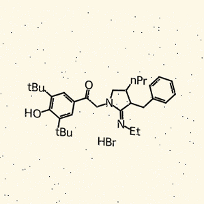 Br.CCCC1CN(CC(=O)c2cc(C(C)(C)C)c(O)c(C(C)(C)C)c2)C(=NCC)C1Cc1ccccc1